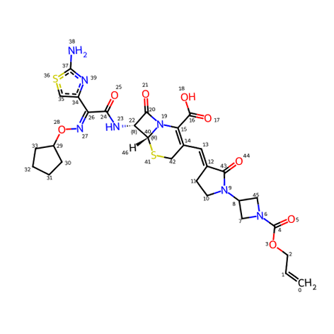 C=CCOC(=O)N1CC(N2CCC(=CC3=C(C(=O)O)N4C(=O)[C@@H](NC(=O)C(=NOC5CCCC5)c5csc(N)n5)[C@H]4SC3)C2=O)C1